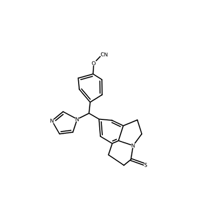 N#COc1ccc(C(c2cc3c4c(c2)CCN4C(=S)CC3)n2ccnc2)cc1